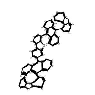 c1ccc2c(c1)sc1cccc(-c3c4ccccc4c(-c4ccc5c(c4)oc4c(-c6c7ccccc7c(-c7cccc8sc9ccccc9c78)c7ccccc67)cccc45)c4ccccc34)c12